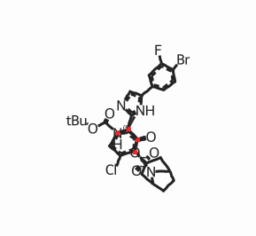 C[C@H](NC(=O)OC(C)(C)C)C(=O)OC1CC2CCC(C1)N2S(=O)(=O)c1cc(-c2ncc(-c3ccc(Br)c(F)c3)[nH]2)ccc1Cl